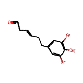 O=CCC=CCCc1cc(Br)c(Br)c(Br)c1